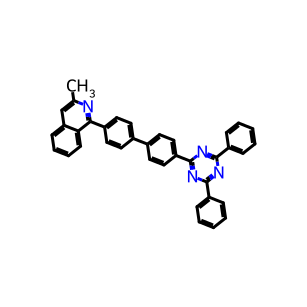 Cc1cc2ccccc2c(-c2ccc(-c3ccc(-c4nc(-c5ccccc5)nc(-c5ccccc5)n4)cc3)cc2)n1